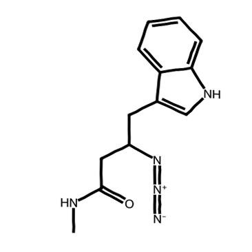 CNC(=O)CC(Cc1c[nH]c2ccccc12)N=[N+]=[N-]